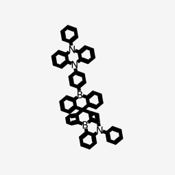 c1ccc(N2c3ccccc3N(c3ccc(B4c5ccccc5C5(c6ccccc64)c4ccccc4B4c6ccccc6N(c6ccccc6)c6cccc5c64)cc3)c3ccccc32)cc1